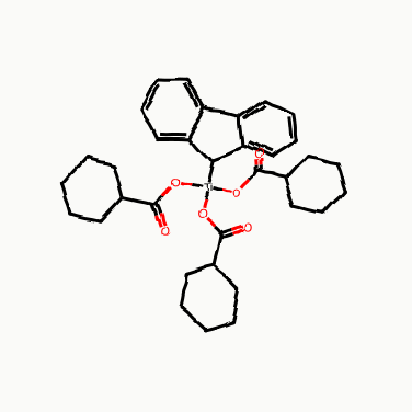 O=C([O][Ti]([O]C(=O)C1CCCCC1)([O]C(=O)C1CCCCC1)[CH]1c2ccccc2-c2ccccc21)C1CCCCC1